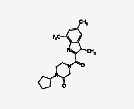 Cc1cc2c(c(C(F)(F)F)c1)N=C(C(=O)N1CCN(C3CCCC3)C(=O)C1)C2C